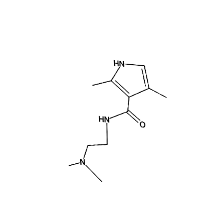 Cc1c[nH]c(C)c1C(=O)NCCN(C)C